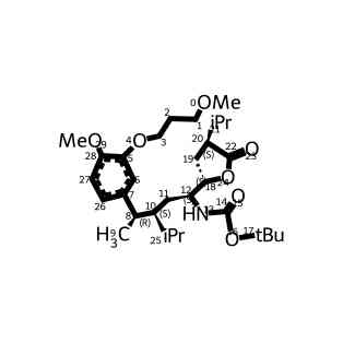 COCCCOc1cc([C@H](C)[C@@H](C[C@H](NC(=O)OC(C)(C)C)[C@@H]2C[C@@H](C(C)C)C(=O)O2)C(C)C)ccc1OC